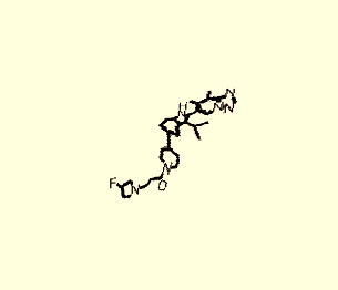 Cc1c(-c2[nH]c3ccc(C4CCN(C(=O)CCN5CCC(F)C5)CC4)cc3c2C(C)C)cn2ncnc2c1C